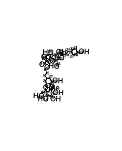 COc1cc(/C=C/COC(=O)C(C)(CC(=O)O)O[C@@H]2O[C@H](CO)[C@@H](OC(=O)/C=C/c3ccc(O)cc3)[C@H](O)[C@H]2O)cc(O)c1O[C@@H]1O[C@H](CO)[C@@H](O)[C@H](O)[C@H]1O